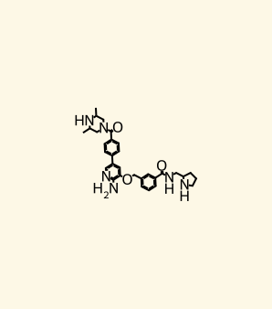 CC1CN(C(=O)c2ccc(-c3cnc(N)c(OCc4cccc(C(=O)NCC5CCCN5)c4)c3)cc2)CC(C)N1